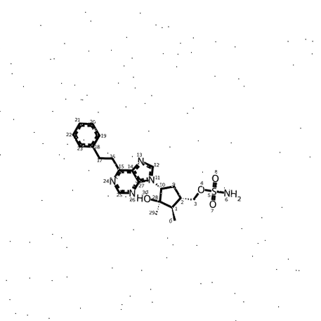 C[C@@H]1[C@@H](COS(N)(=O)=O)C[C@@H](n2cnc3c(CCc4ccccc4)ncnc32)[C@]1(C)O